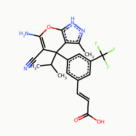 Cc1n[nH]c2c1C(c1cc(C=CC(=O)O)cc(C(F)(F)F)c1)(C(C)C)C(C#N)=C(N)O2